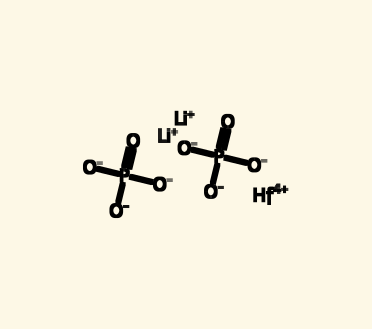 O=P([O-])([O-])[O-].O=P([O-])([O-])[O-].[Hf+4].[Li+].[Li+]